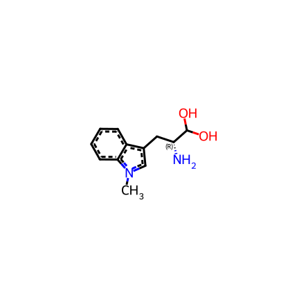 Cn1cc(C[C@@H](N)C(O)O)c2ccccc21